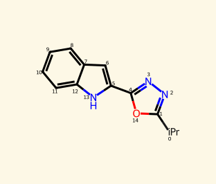 CC(C)c1nnc(-c2cc3ccccc3[nH]2)o1